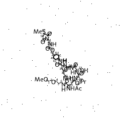 COCCOCCCNC(=O)[C@H](CCC(=O)N[C@@H](CC(C)C)C(=O)N[C@@H](CO)C(=O)NCC(=O)N[C@@H](CCCCN)C(=O)Nc1ccc(COC(=O)NCCN2C(=O)CC(SC)C2=O)cc1)NC(C)=O